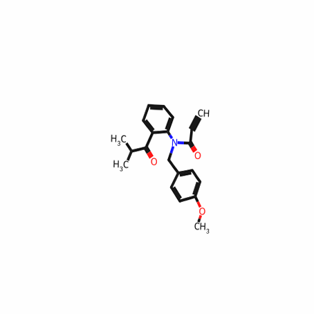 C#CC(=O)N(Cc1ccc(OC)cc1)c1ccccc1C(=O)C(C)C